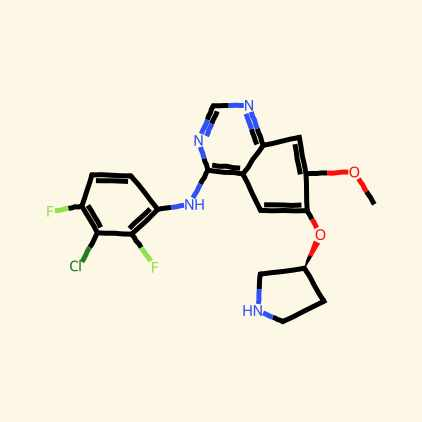 COc1cc2ncnc(Nc3ccc(F)c(Cl)c3F)c2cc1O[C@H]1CCNC1